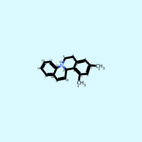 Cc1cc(C)c2c(c1)CCN1c3ccccc3C=CC21